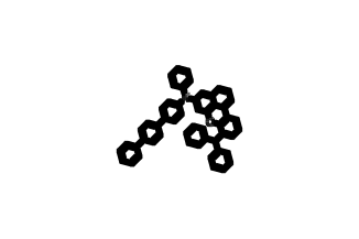 C1=C=C(c2ccc(-c3ccc(N(c4ccccc4)c4cc5c6c(cccc6c4)-c4cccc(C(c6ccccc6)c6ccccc6)c4O5)cc3)cc2)C=CC=1